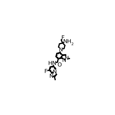 Cc1cn2cc(NC(=O)c3ccc(N4CCC(N)(CF)CC4)c4cn(C)nc34)cc(F)c2n1